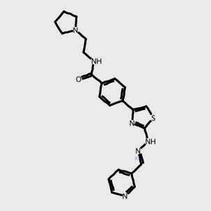 O=C(NCCN1CCCC1)c1ccc(-c2csc(N/N=C/c3cccnc3)n2)cc1